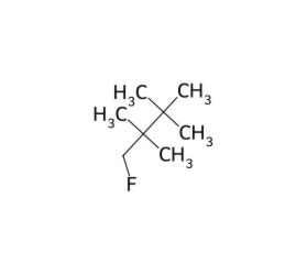 CC(C)(C)C(C)(C)CF